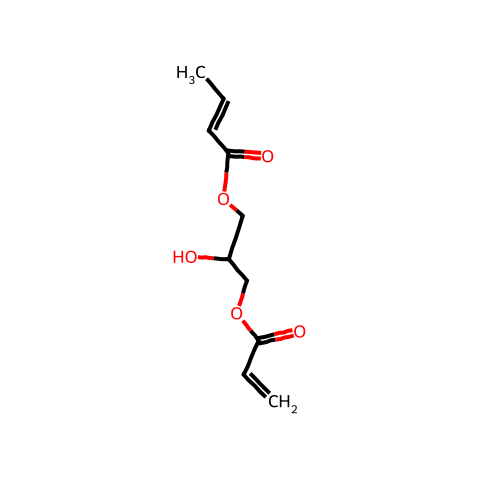 C=CC(=O)OCC(O)COC(=O)/C=C/C